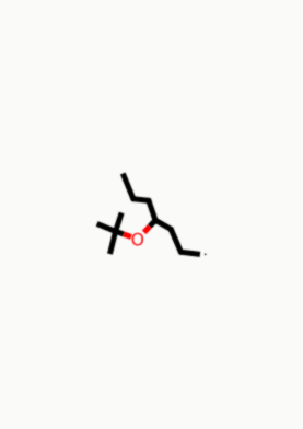 [CH2]CCC(CCC)OC(C)(C)C